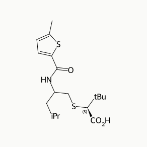 Cc1ccc(C(=O)NC(CS[C@H](C(=O)O)C(C)(C)C)CC(C)C)s1